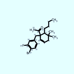 CCCCC1C(C)(C)CC=CC1(Cc1ccc(Br)c(F)c1)C(N)=O